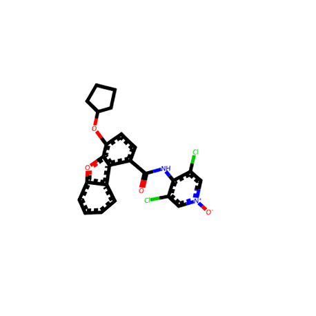 O=C(Nc1c(Cl)c[n+]([O-])cc1Cl)c1ccc(OC2CCCC2)c2oc3ccccc3c12